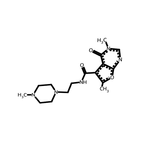 Cc1oc2ncn(C)c(=O)c2c1C(=O)NCCN1CCN(C)CC1